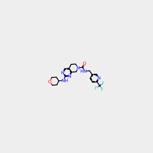 O=C(NCc1ccc(C(F)(F)F)nc1)N1CCc2cnc(NC3CCOCC3)nc2C1